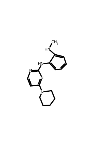 CNc1ccccc1Nc1nccc(N2CCCCC2)n1